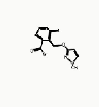 O=C(Br)c1cccc(I)c1COc1ccn(O)n1